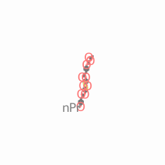 C=CC(=O)OCCOc1ccc(CCC(=O)Oc2ccc(S(=O)(=O)c3ccc(OC(=O)CCc4ccc(OCCC)cc4)cc3)cc2)cc1